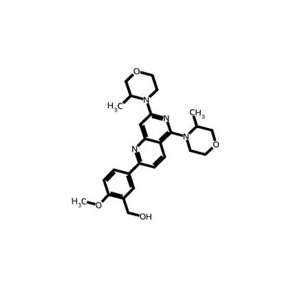 COc1ccc(-c2ccc3c(N4CCOCC4C)nc(N4CCOCC4C)cc3n2)cc1CO